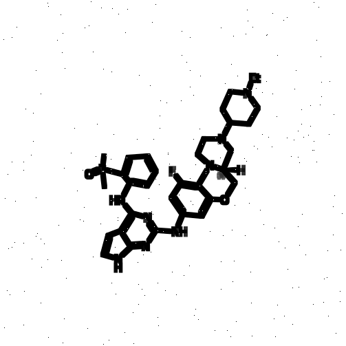 CCN1CCC(N2CCN3c4c(F)cc(Nc5nc(Nc6ccccc6P(C)(C)=O)c6cc[nH]c6n5)cc4OC[C@H]3C2)CC1